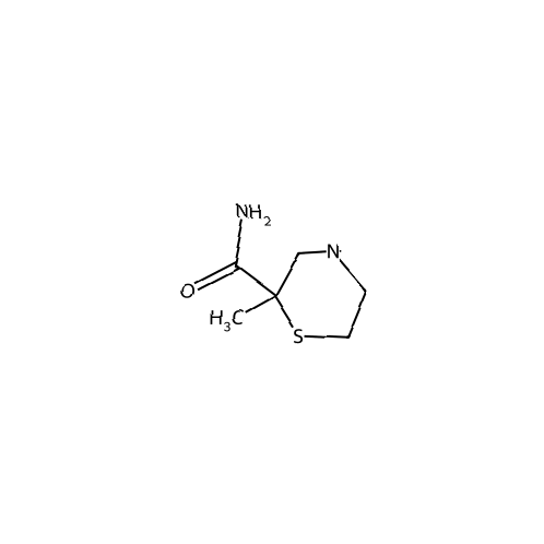 CC1(C(N)=O)C[N]CCS1